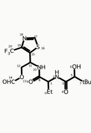 CCC(NC(=O)C(O)C(C)(C)C)C(=O)NC(COC=O)c1scnc1C(F)(F)F